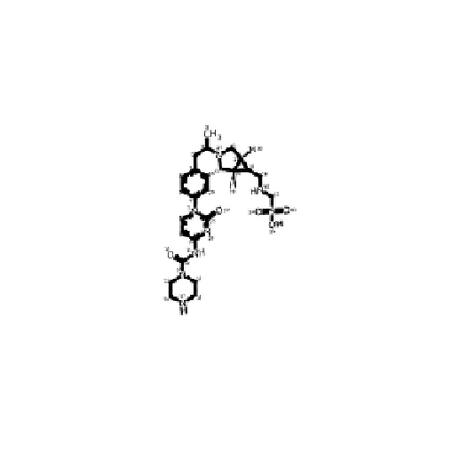 CC(Cc1ccc(-n2ccc(NC(=O)N3CCNCC3)nc2=O)cc1)N1C[C@@H]2C(CNCS(=O)(=O)O)[C@@H]2C1